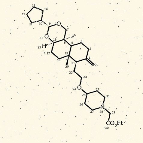 C=C1CCC2[C@]3(C)CO[C@@H](C4CCCC4)O[C@@H]3CC[C@@]2(C)[C@@H]1CCOC1CCN(CC(=O)OCC)CC1